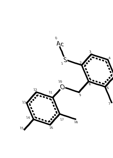 CC(=O)Sc1cccc(C)c1COc1ccc(C)cc1C